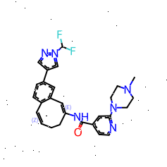 CN1CCN(c2cc(C(=O)N/C3=C/c4cc(-c5cnn(C(F)F)c5)ccc4/C=C\CC3)ccn2)CC1